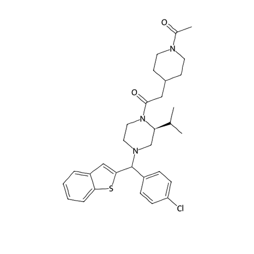 CC(=O)N1CCC(CC(=O)N2CCN(C(c3ccc(Cl)cc3)c3cc4ccccc4s3)C[C@@H]2C(C)C)CC1